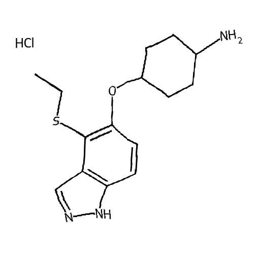 CCSc1c(OC2CCC(N)CC2)ccc2[nH]ncc12.Cl